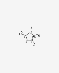 [CH]C1CC(C)=C(C)C1C